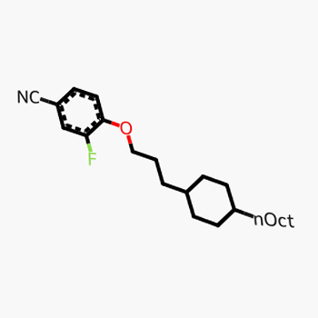 CCCCCCCCC1CCC(CCCOc2ccc(C#N)cc2F)CC1